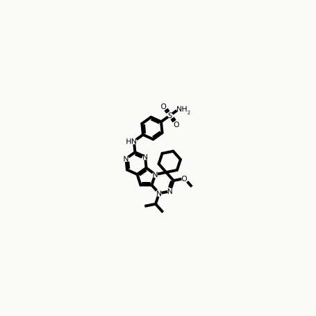 COC1=NN(C(C)C)c2cc3cnc(Nc4ccc(S(N)(=O)=O)cc4)nc3n2C12CCCCC2